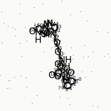 C[C@H]1C=C2C=C[C@H](C)[C@H](CC[C@@H]3C[C@@H](O)CC(=O)O3)[C@H]2[C@@H](OC(=O)C(C)(C)CCC(=O)NCCOCCOCCNc2cccc3nnn(C4CCC(=O)NC4=O)c(=O)c23)C1